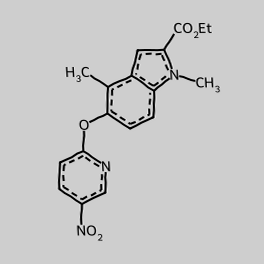 CCOC(=O)c1cc2c(C)c(Oc3ccc([N+](=O)[O-])cn3)ccc2n1C